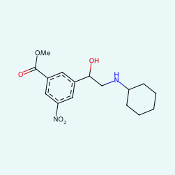 COC(=O)c1cc(C(O)CNC2CCCCC2)cc([N+](=O)[O-])c1